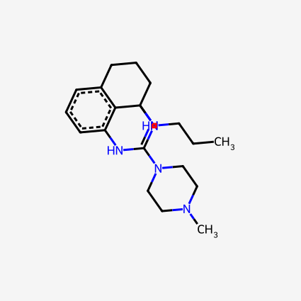 CCCNC12CCCc3cccc(c31)NC(N1CCN(C)CC1)=N2